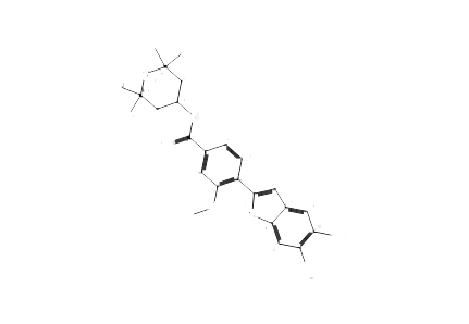 COc1cc(C(=O)NC2CC(C)(C)NC(C)(C)C2)ccc1-c1cc2cc(Cl)c(Cl)cc2[nH]1